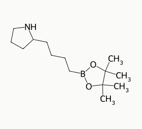 CC1(C)OB(CCCCC2CCCN2)OC1(C)C